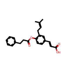 CC(C)=CCc1cc(C=CC(=O)O)ccc1OC(=O)CCc1ccccc1